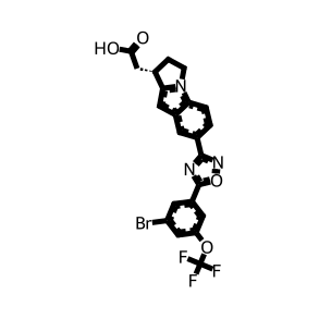 O=C(O)C[C@@H]1CCn2c1cc1cc(-c3noc(-c4cc(Br)cc(OC(F)(F)F)c4)n3)ccc12